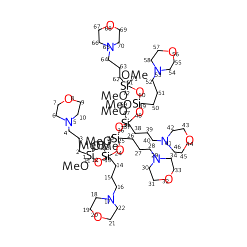 CO[Si](CCCN1CCOCC1)(OC)O[Si](CCCN1CCOCC1)(OC)O[Si](CCCN1CCOCC1)(OC)O[Si](CCCN1CCOCC1)(OC)O[Si](CCCN1CCOCC1)(OC)O[Si](CCCN1CCOCC1)(OC)OC